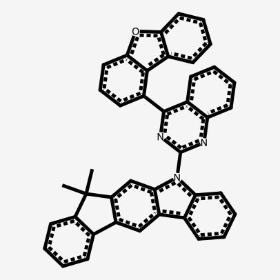 CC1(C)c2ccccc2-c2cc3c4ccccc4n(-c4nc(-c5cccc6oc7ccccc7c56)c5ccccc5n4)c3cc21